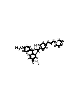 Cc1ccc(C(NC(=O)N2CCN(CCCN3CCOCC3)CC2)c2ccc(C)cc2)cc1